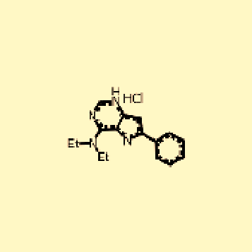 CCN(CC)c1nc[nH]c2cc(-c3ccccc3)nc1-2.Cl